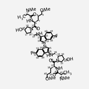 CN[C@@H](C)C(=O)N[C@@H](CCCOC)C(=O)N1C[C@@H](O)C[C@H]1CNc1cn(-n2cc(NC[C@@H]3C[C@H](O)CN3C(=O)[C@H](CCCOC)NC(=O)[C@H](C)NC)c3ccc(F)cc32)c2cc(F)ccc12